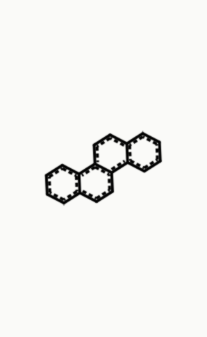 [c]1cccc2c1ccc1c3ccc[c]c3ccc21